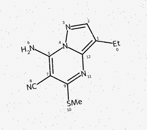 CCc1cnn2c(N)c(C#N)c(SC)nc12